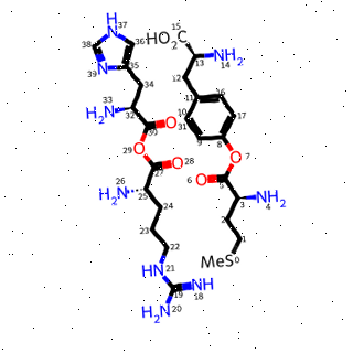 CSCC[C@H](N)C(=O)Oc1ccc(C[C@H](N)C(=O)O)cc1.N=C(N)NCCC[C@H](N)C(=O)OC(=O)[C@@H](N)Cc1c[nH]cn1